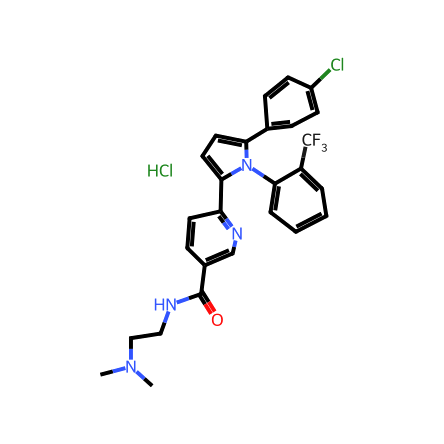 CN(C)CCNC(=O)c1ccc(-c2ccc(-c3ccc(Cl)cc3)n2-c2ccccc2C(F)(F)F)nc1.Cl